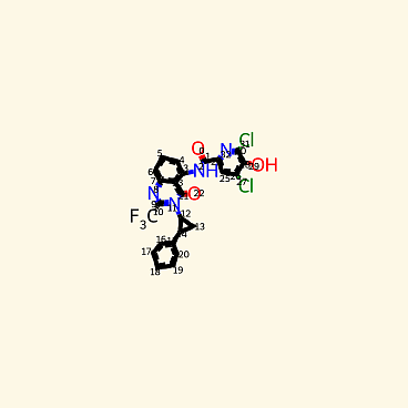 O=C(Nc1cccc2nc(C(F)(F)F)n(C3CC3c3ccccc3)c(=O)c12)c1cc(Cl)c(O)c(Cl)n1